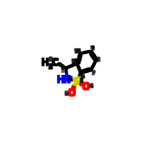 C[C@@H]1NS(=O)(=O)c2ccccc21